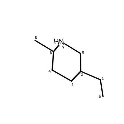 CCC1CCC(C)NC1